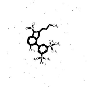 CCCCC1=Cc2c(ccc(C)c2-c2cc([Si](C)(C)C)cc([Si](C)(C)C)c2)[CH]1[Zr]([Cl])[Cl]